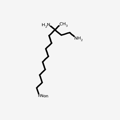 CCCCCCCCCCCCCCCCCCC(C)(N)CCN